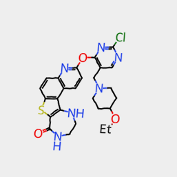 CCOC1CCN(Cc2cnc(Cl)nc2Oc2ccc3c(ccc4sc5c(c43)NCCNC5=O)n2)CC1